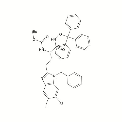 CC(C)(C)OC(=O)N[C@@H](CCc1nc2cc(Cl)c(Cl)cc2n1Cc1ccccc1)C(=O)NOC(c1ccccc1)(c1ccccc1)c1ccccc1